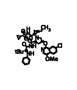 C=C[C@@H]1C[C@@]1(C(=O)NS(=O)(=O)C1CC1)N1C[C@H](Oc2ncc(OC)c3ccc(Cl)cc23)C[C@H]1C(=O)NC(=O)[C@H](Nc1ccccc1)C(C)(C)C